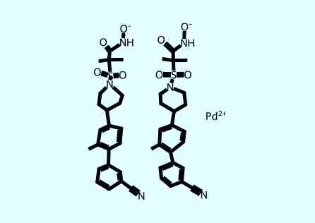 Cc1cc(C2CCN(S(=O)(=O)C(C)(C)C(=O)N[O-])CC2)ccc1-c1cccc(C#N)c1.Cc1cc(C2CCN(S(=O)(=O)C(C)(C)C(=O)N[O-])CC2)ccc1-c1cccc(C#N)c1.[Pd+2]